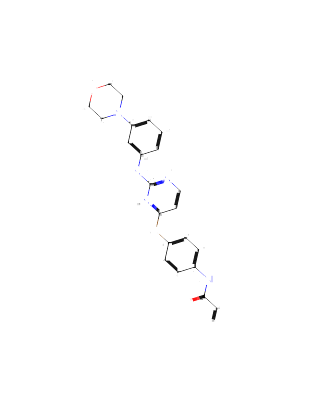 C=CC(=O)Nc1ccc(Sc2ccnc(Nc3cccc(N4CCOCC4)c3)n2)cc1